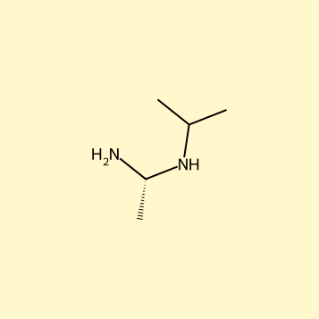 CC(C)N[C@H](C)N